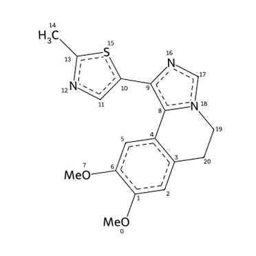 COc1cc2c(cc1OC)-c1c(-c3cnc(C)s3)ncn1CC2